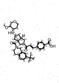 COC1COCCC1N[C@@H]1C[C@H]2CN(C(=O)/C=C/c3ccc(C(=O)O)cc3)C[C@@]2(C(=O)N2CCc3ncc(C(F)(F)F)cc3C2)C1